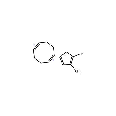 C1=C\CC/C=C\CC/1.CC1=[C]([Ir])CC=C1